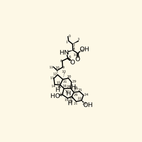 CC[C@@H](C)[C@H](NC(=O)CCC(C)[C@H]1CC[C@H]2[C@@H]3[C@H](O)C[C@@H]4C[C@H](O)CC[C@]4(C)[C@H]3CC[C@]12C)C(=O)O